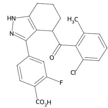 Cc1cccc(Cl)c1C(=O)C1CCCc2[nH]nc(-c3ccc(C(=O)O)c(F)c3)c21